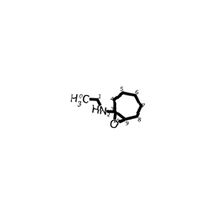 CCNC12CCCCCC1O2